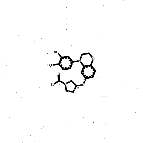 CCC(=O)N1CC[C@H](Oc2ccc3c(c2)N(c2ccc(C)c(C#N)c2)CCO3)C1